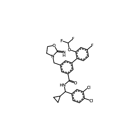 N=C1OCCN1Cc1cc(C(=O)NC(c2ccc(Cl)c(Cl)c2)C2CC2)cc(-c2ccc(F)cc2OC(F)F)c1